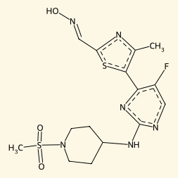 Cc1nc(C=NO)sc1-c1nc(NC2CCN(S(C)(=O)=O)CC2)ncc1F